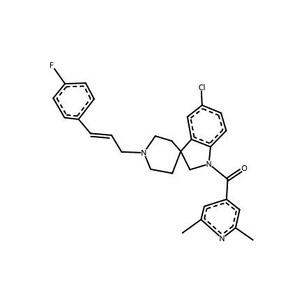 Cc1cc(C(=O)N2CC3(CCN(C/C=C/c4ccc(F)cc4)CC3)c3cc(Cl)ccc32)cc(C)n1